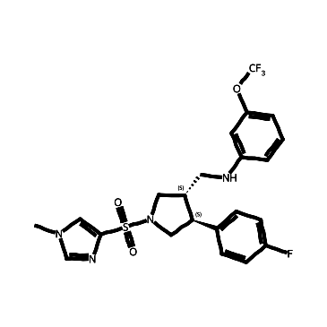 Cn1cnc(S(=O)(=O)N2C[C@H](CNc3cccc(OC(F)(F)F)c3)[C@@H](c3ccc(F)cc3)C2)c1